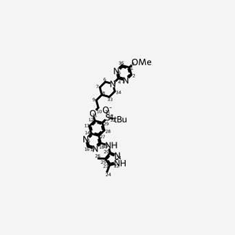 COc1cnc(N2CCC(CCOc3cc4ncnc(Nc5n[nH]c(C)c5C)c4cc3[S+]([O-])C(C)(C)C)CC2)nc1